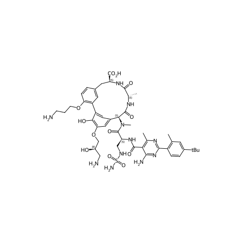 Cc1cc(C(C)(C)C)ccc1-c1nc(C)c(C(=O)N[C@@H](CNS(N)(=O)=O)C(=O)N(C)[C@@H]2C(=O)N[C@@H](C)C(=O)N[C@H](C(=O)O)Cc3ccc(OCCCN)c(c3)-c3cc2cc(OC[C@H](O)CN)c3O)c(N)n1